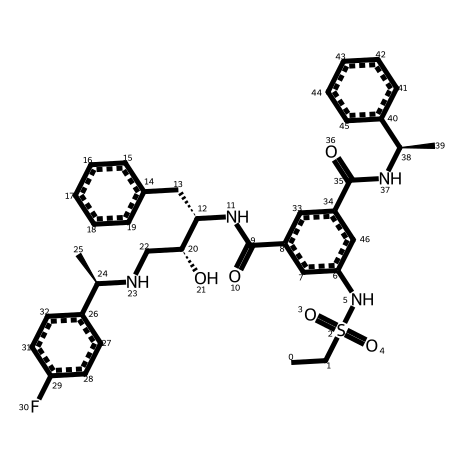 CCS(=O)(=O)Nc1cc(C(=O)N[C@@H](Cc2ccccc2)[C@H](O)CN[C@H](C)c2ccc(F)cc2)cc(C(=O)N[C@H](C)c2ccccc2)c1